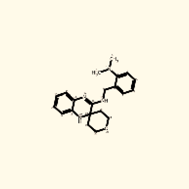 CN(C)c1ccccc1CNC1=Nc2ccccc2NC12CCOCC2